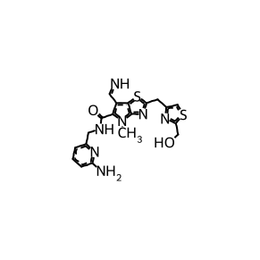 Cn1c(C(=O)NCc2cccc(N)n2)c(C=N)c2sc(Cc3csc(CO)n3)nc21